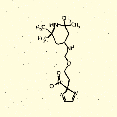 CC1(C)CC(NCOCCC2([N+](=O)[O-])N=CC=N2)CC(C)(C)N1